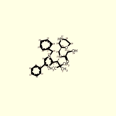 CC(C)(C)[C@H](c1nc(-c2ccccc2)cn1Cc1ccccc1)N(C[C@H]1CNCCO1)C(=O)CO